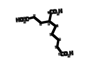 O=C(O)CCCCC(CCC(=O)O)C(=O)O